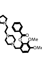 COc1ccc(CN2CCN(CCN3CCCC3)CC2)c(OC(=O)c2ccccc2)c1OC